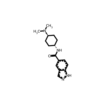 CN(C)[C@H]1CC[C@H](NC(=O)c2ccc3[nH]ncc3c2)CC1